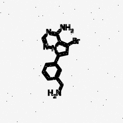 NCc1cccc(-c2cc(Br)c3c(N)ncnn23)c1